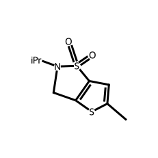 Cc1cc2c(s1)CN(C(C)C)S2(=O)=O